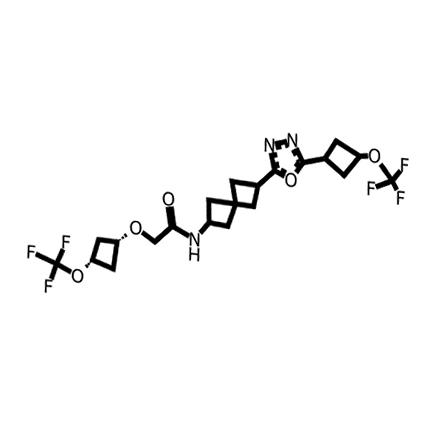 O=C(CO[C@H]1C[C@@H](OC(F)(F)F)C1)NC1CC2(C1)CC(c1nnc(C3CC(OC(F)(F)F)C3)o1)C2